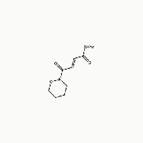 CC(=O)NC(=O)/C=C/C(=O)N1CCCCO1